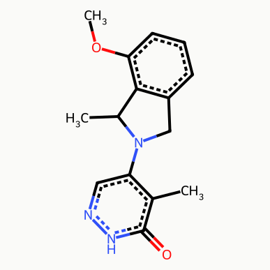 COc1cccc2c1C(C)N(c1cn[nH]c(=O)c1C)C2